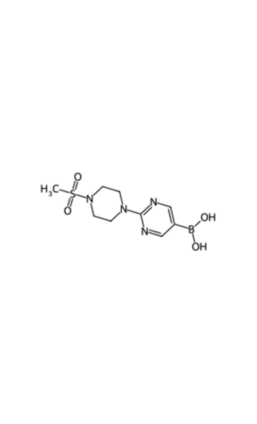 CS(=O)(=O)N1CCN(c2ncc(B(O)O)cn2)CC1